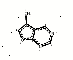 Cc1coc2ncncc12